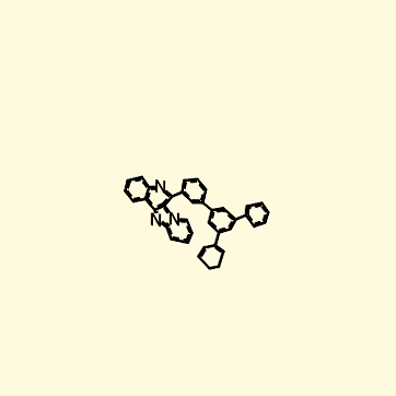 C1=CC(c2cc(-c3ccccc3)cc(-c3cccc(-c4nc5ccccc5c5nc6ccccn6c45)c3)c2)=CCC1